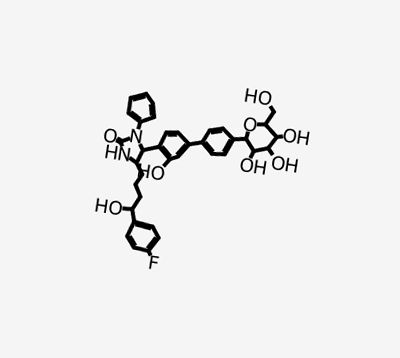 O=C1NC(CCCC(O)c2ccc(F)cc2)C(c2ccc(-c3ccc(C4OC(CO)C(O)C(O)C4O)cc3)cc2O)N1c1ccccc1